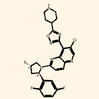 Fc1ccc(F)c([C@H]2C[C@H](F)CN2c2ccc3ncc(Cl)c(-c4noc(C5CCNCC5)n4)c3n2)c1